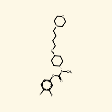 CN(C(=O)Oc1ccc(F)c(F)c1)[C@H]1CC[C@H](OCCCCN2CCOCC2)CC1